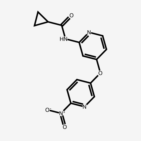 O=C(Nc1cc(Oc2ccc([N+](=O)[O-])nc2)ccn1)C1CC1